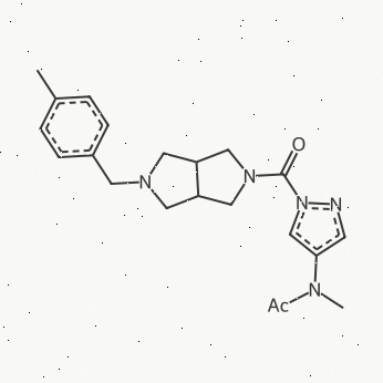 CC(=O)N(C)c1cnn(C(=O)N2CC3CN(Cc4ccc(C)cc4)CC3C2)c1